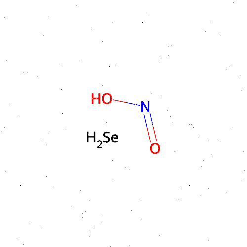 O=NO.[SeH2]